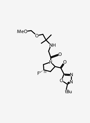 COCOCC(C)(C)NCC(=O)N1C[C@@H](F)CC1C(=O)c1nnc(C(C)(C)C)o1